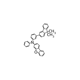 CC1(C)c2ccccc2-c2cc(-c3cccc(N(c4ccccc4)c4ccc5c(c4)oc4ccccc45)c3)ccc21